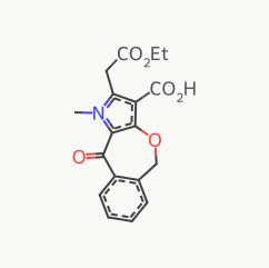 CCOC(=O)Cc1c(C(=O)O)c2c(n1C)C(=O)c1ccccc1CO2